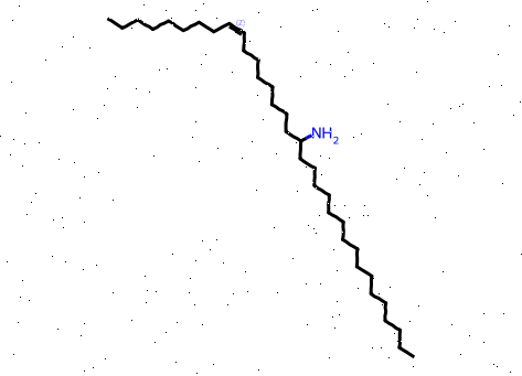 CCCCCCCC/C=C\CCCCCCCC(N)CCCCCCCCCCCCCCCC